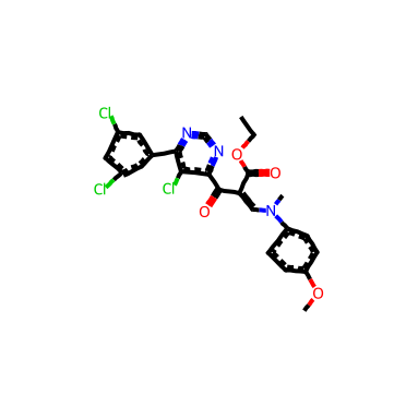 CCOC(=O)C(=CN(C)c1ccc(OC)cc1)C(=O)c1ncnc(-c2cc(Cl)cc(Cl)c2)c1Cl